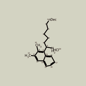 CCCCCCCCCCCCCCCC(N)c1c(C)c(C)cc2ccccc12.Cl